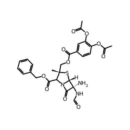 CC(=O)Oc1ccc(C(=O)OC[C@]2(C)S[C@H]3N(C(=O)[C@]3(N)NC=O)C2C(=O)OCc2ccccc2)cc1OC(C)=O